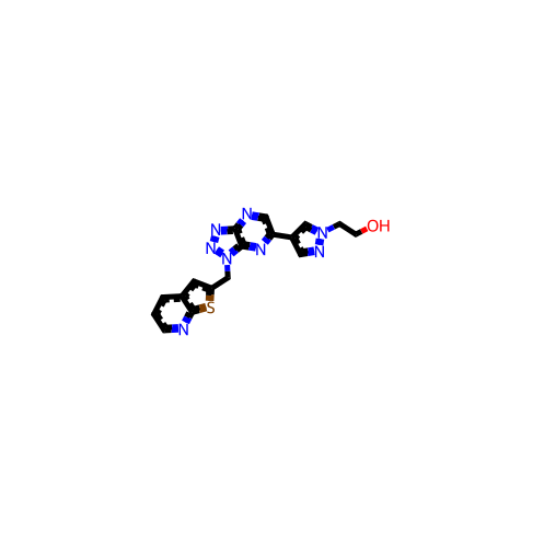 OCCn1cc(-c2cnc3nnn(Cc4cc5cccnc5s4)c3n2)cn1